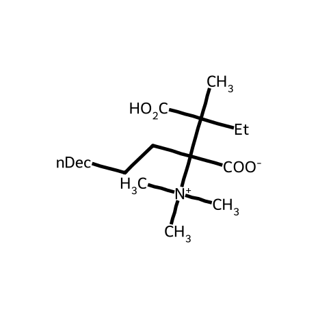 CCCCCCCCCCCCC(C(=O)[O-])(C(C)(CC)C(=O)O)[N+](C)(C)C